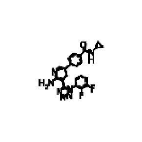 Nc1ncc(-c2ccc(C(=O)NC3CC3)cc2)cc1-c1nnnn1-c1cccc(F)c1F